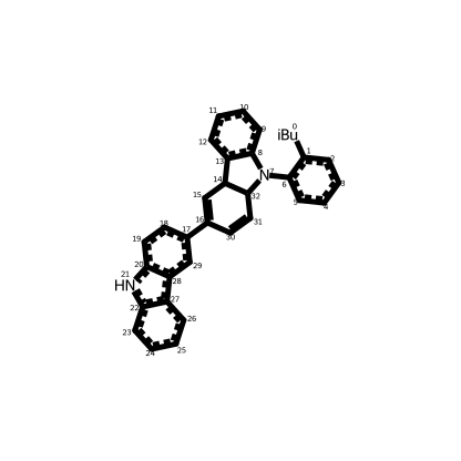 CCC(C)c1ccccc1N1c2ccccc2C2C=C(c3ccc4[nH]c5ccccc5c4c3)C=CC21